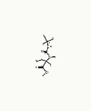 CCC(C)(C(=O)OC)N(C)C(=O)OC(C)(C)C